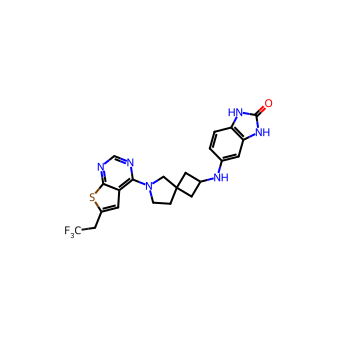 O=c1[nH]c2ccc(NC3CC4(CCN(c5ncnc6sc(CC(F)(F)F)cc56)C4)C3)cc2[nH]1